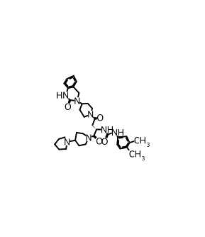 Cc1ccc(NC(=O)N[C@@H](CC(=O)N2CCC(N3Cc4ccccc4NC3=O)CC2)C(=O)N2CCC(N3CCCCC3)CC2)cc1C